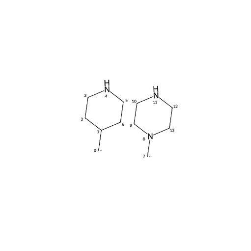 [CH2]C1CCNCC1.[CH2]N1CCNCC1